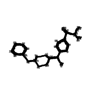 CC(C)N(C(=O)c1ccc(C(Br)=C2CCN(Cc3ccccc3)CC2)cc1)C(C)C